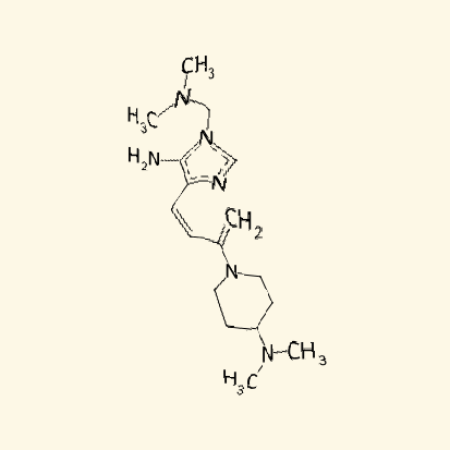 C=C(/C=C\c1ncn(CN(C)C)c1N)N1CCC(N(C)C)CC1